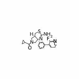 NC1=N[C@@]2(c3cccc(C4=CCCN=C4F)c3)CN(C(=O)C3CC3)C[C@H]2CS1